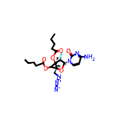 CCCCC(=O)OC1[C@@]2(CN=[N+]=[N-])O[C@@H](n3ccc(N)nc3=O)[C@H](F)[C@@]12OC(=O)CCCC